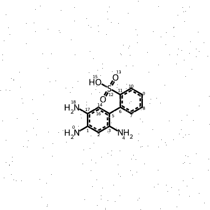 Nc1cc(N)c(-c2ccccc2S(=O)(=O)O)cc1N